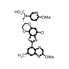 COc1ccc(N(C[C@H]2COc3c(cc(Cl)c4nc(-c5cc(C)cc6nc(OC)cnc56)sc34)O2)C(=O)O)cn1